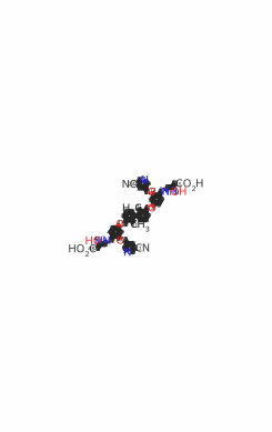 Cc1c(COc2ccc(CNC[C@@H](O)CC(=O)O)c(OCc3cncc(C#N)c3)c2)cccc1-c1cccc(COc2ccc(CNC[C@@H](O)CC(=O)O)c(OCc3cncc(C#N)c3)c2)c1C